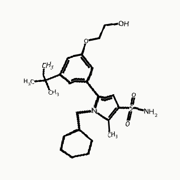 Cc1c(S(N)(=O)=O)cc(-c2cc(OCCO)cc(C(C)(C)C)c2)n1CC1CCCCC1